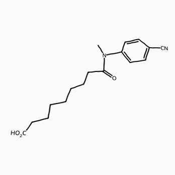 CN(C(=O)CCCCCCCC(=O)O)c1ccc(C#N)cc1